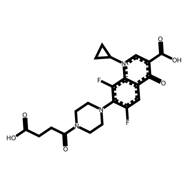 O=C(O)CCC(=O)N1CCN(c2c(F)cc3c(=O)c(C(=O)O)cn(C4CC4)c3c2F)CC1